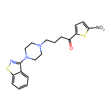 O=C(CCCN1CCN(c2nsc3ccccc23)CC1)c1ccc([N+](=O)[O-])s1